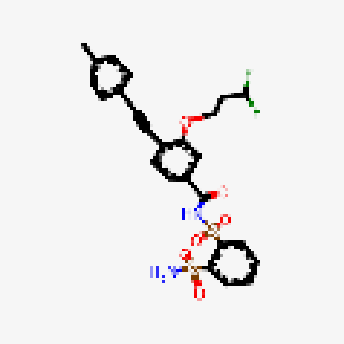 Cc1ccc(C#Cc2ccc(C(=O)NS(=O)(=O)c3ccccc3S(N)(=O)=O)cc2OCCC(F)F)cc1